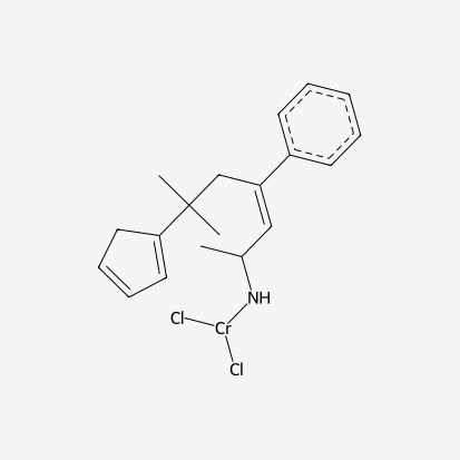 CC(C=C(CC(C)(C)C1=CC=CC1)c1ccccc1)[NH][Cr]([Cl])[Cl]